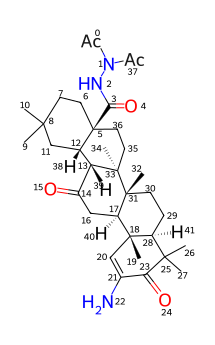 CC(=O)N(NC(=O)[C@]12CCC(C)(C)C[C@H]1[C@H]1C(=O)C[C@@H]3[C@@]4(C)C=C(N)C(=O)C(C)(C)[C@@H]4CC[C@@]3(C)[C@]1(C)CC2)C(C)=O